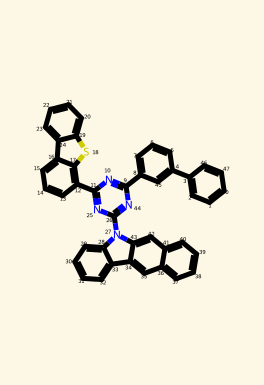 c1ccc(-c2cccc(-c3nc(-c4cccc5c4sc4ccccc45)nc(-n4c5ccccc5c5cc6ccccc6cc54)n3)c2)cc1